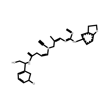 C#CN(/C=C\CC(=C)NC(CO)C1=CC=CC(Cl)C1)C/C(C)=C\N=C(/N=C)Nc1ccc2c(c1)CCO2